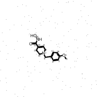 COc1ccc(CN2CC=C(C(=O)NO)CC2)cc1